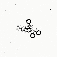 CC1(C)O[C@H]2O[C@H](CO[Si](c3ccccc3)(c3ccccc3)C(C)(C)C)[C@](O)(C(F)(F)S(=O)(=O)c3ccccc3)[C@H]2O1